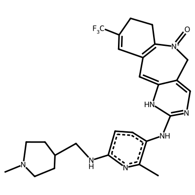 Cc1nc(NCC2CCN(C)CC2)ccc1NC1=NC=C2C[N+](=O)C3=C(C=C2N1)C=C(C(F)(F)F)CC3